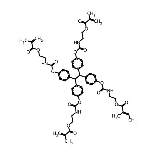 C=C(C)C(=O)OCCNC(=O)Oc1ccc(C(c2ccc(OC(=O)NCCOC(=O)C(=C)C)cc2)C(c2ccc(OC(=O)NCCOC(=O)C(=C)C)cc2)c2ccc(OC(=O)NCCOC(=O)/C(C)=C/C)cc2)cc1